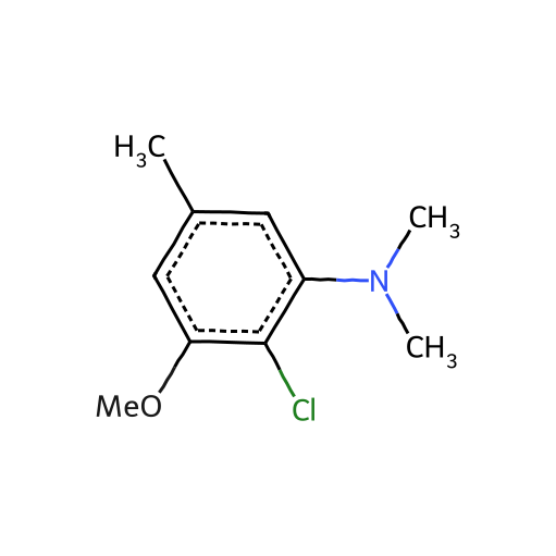 COc1cc(C)cc(N(C)C)c1Cl